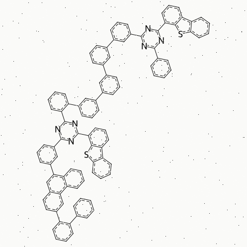 c1ccc(-c2nc(-c3cccc(-c4cccc(-c5cccc(-c6cccc(-c7ccccc7-c7nc(-c8cccc(-c9cc%10ccc(-c%11ccccc%11-c%11ccccc%11)cc%10c%10ccccc9%10)c8)nc(-c8cccc9c8sc8ccccc89)n7)c6)c5)c4)c3)nc(-c3cccc4c3sc3ccccc34)n2)cc1